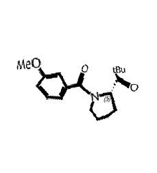 COc1cccc(C(=O)N2CCC[C@H]2C(=O)C(C)(C)C)c1